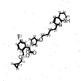 O=C(O)[C@H](c1cc(F)ccc1COCC1CC1)N1CC[C@@H](OCCCCc2ccc3c(n2)NCCC3)C1